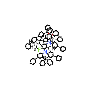 CC1(C)c2c(F)c(N3c4ccc(-c5ccccc5)cc4[Si](c4ccccc4)(c4ccccc4)c4cc(-c5ccccc5)ccc43)c(C#N)c(N3c4ccc(-c5ccccc5)cc4[Si](c4ccccc4)(c4ccccc4)c4cc(-c5ccccc5)ccc43)c2C(C)(C)C12c1cc(-c3ccccc3)ccc1-c1ccc(-c3ccccc3)cc12